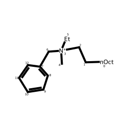 CCCCCCCCCC[N+](C)(CC)Cc1ccccc1